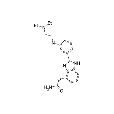 CCN(CC)CCNc1cccc(-c2nc3c(OC(N)=O)cccc3[nH]2)c1